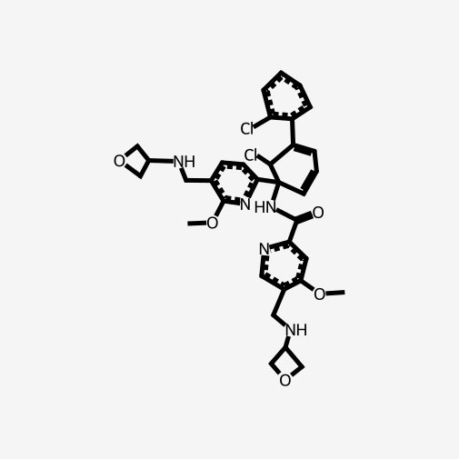 COc1cc(C(=O)NC2(c3ccc(CNC4COC4)c(OC)n3)C=CC=C(c3ccccc3Cl)C2Cl)ncc1CNC1COC1